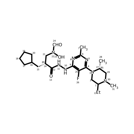 CCC1CN(c2nc(C)nc(NNC(=O)[C@H](CC3CCCC3)CN(O)C=O)c2F)[C@H](C)CN1C